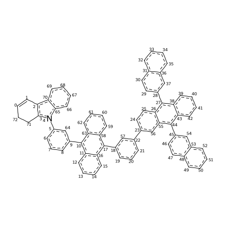 C1=Cc2c(n(-c3cccc(-c4c5ccccc5c(-c5cccc(-c6ccc7c(-c8ccc9ccccc9c8)c8ccccc8c(-c8ccc9ccccc9c8)c7c6)c5)c5ccccc45)c3)c3ccccc23)CC1